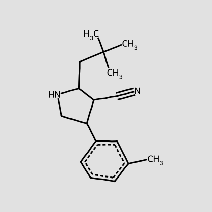 Cc1cccc(C2CNC(CC(C)(C)C)C2C#N)c1